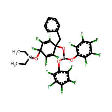 C[CH2][Al]([CH2]C)[O]C1(F)C(F)=C(F)C(Cc2ccccc2)(OB(Oc2c(F)c(F)c(F)c(F)c2F)Oc2c(F)c(F)c(F)c(F)c2F)C(F)=C1F